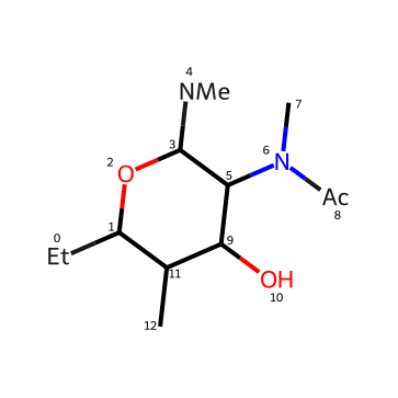 CCC1OC(NC)C(N(C)C(C)=O)C(O)C1C